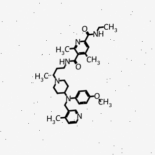 CCNC(=O)c1cc(C)c(C(=O)NCC[C@@H](C)N2CCC(N(Cc3cnccc3C)c3ccc(OC)cc3)CC2)c(C)n1